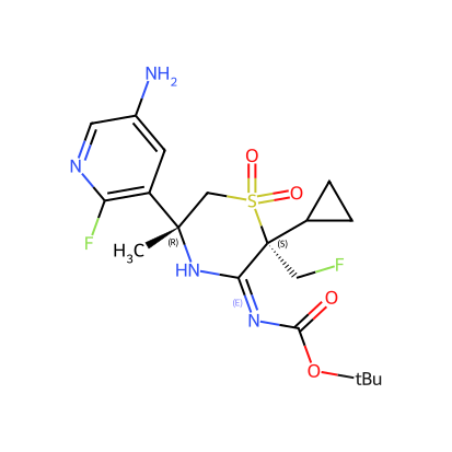 CC(C)(C)OC(=O)/N=C1/N[C@](C)(c2cc(N)cnc2F)CS(=O)(=O)[C@@]1(CF)C1CC1